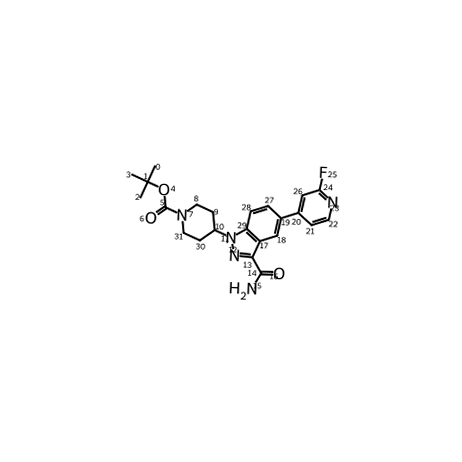 CC(C)(C)OC(=O)N1CCC(n2nc(C(N)=O)c3cc(-c4ccnc(F)c4)ccc32)CC1